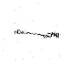 CCCCCCCCCCCCCCCCCCCCOc1ccc(N=[N+]=[N-])cc1